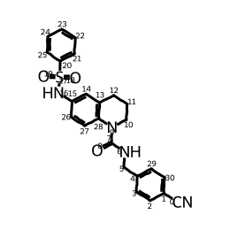 N#Cc1ccc(CNC(=O)N2CCCc3cc(NS(=O)(=O)c4ccccc4)ccc32)cc1